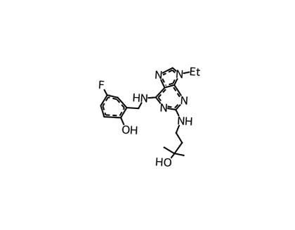 CCn1cnc2c(NCc3cc(F)ccc3O)nc(NCCC(C)(C)O)nc21